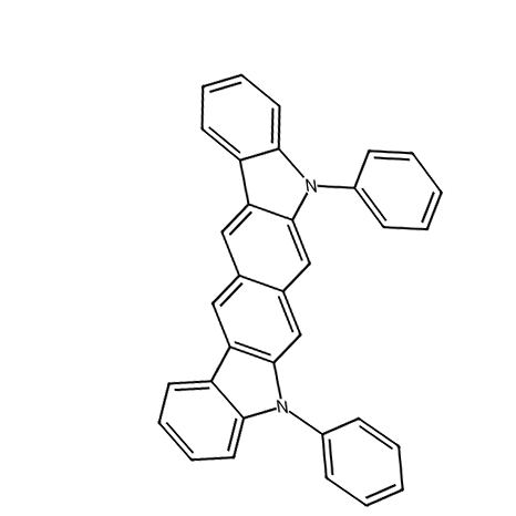 c1ccc(-n2c3ccccc3c3cc4cc5c6ccccc6n(-c6ccccc6)c5cc4cc32)cc1